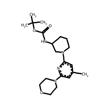 Cc1cc(N2CCOCC2)nc(N2CCCC(NC(=O)OC(C)(C)C)C2)c1